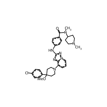 COC1(c2ccc(Cl)cc2)CCN(c2cccn3nc(Nc4ccc(C(=O)N(C)C5CCN(C)CC5)cc4)nc23)CC1